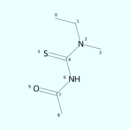 CCN(C)C(=S)NC(C)=O